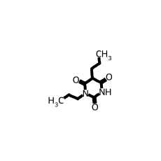 CCCC1C(=O)NC(=O)N(CCC)C1=O